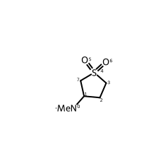 C[N]C1CCS(=O)(=O)C1